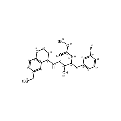 CC(C)(C)Cc1ccc2c(c1)C(NCC(O)C(Cc1cccc(F)c1)NC(=O)OC(C)(C)C)CCO2